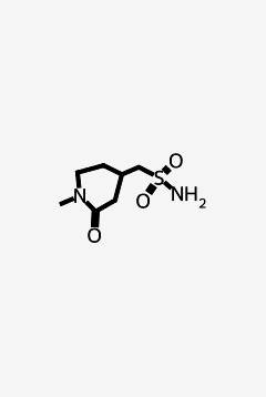 CN1CCC(CS(N)(=O)=O)CC1=O